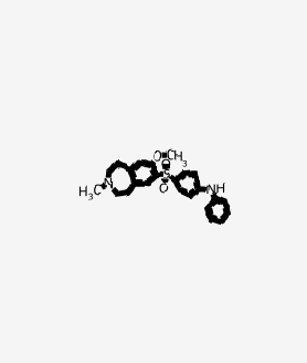 COc1cc2c(cc1S(=O)(=O)c1ccc(Nc3ccccc3)cc1)CCN(C)CC2